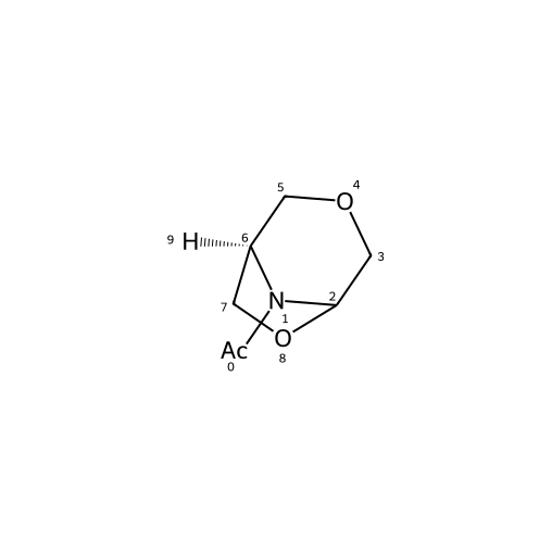 CC(=O)N1C2COC[C@@H]1CO2